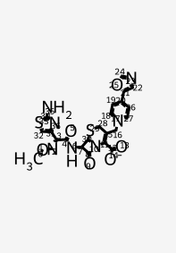 CON=C(C(=O)NC1C(=O)N2C(C(=O)[O-])=C(C[n+]3ccc(-c4cnco4)cc3)CSC12)c1csc(N)n1